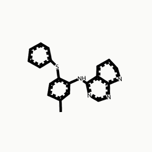 Cc1ccc(Sc2ccccc2)c(Nc2ncnc3ncccc23)c1